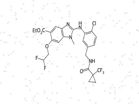 CCOC(=O)c1cc2nc(Nc3cc(CNC(=O)C4(C(F)(F)F)CC4)ccc3Cl)n(C)c2cc1OCC(F)F